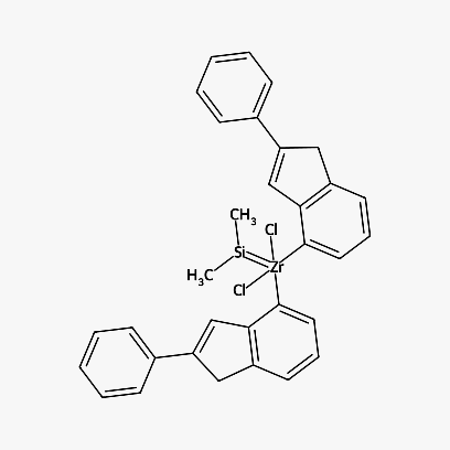 C[Si](C)=[Zr]([Cl])([Cl])([c]1cccc2c1C=C(c1ccccc1)C2)[c]1cccc2c1C=C(c1ccccc1)C2